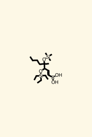 CCCCC(C)(O[Si](C)(C)C)C(C=CB(O)O)O[Si](CC)(CC)CC